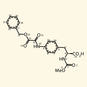 COC(=O)N[C@@H](Cc1ccc(NC(=O)C(=O)OCc2ccccc2)cc1)C(=O)O